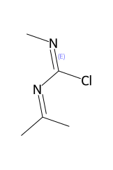 C/N=C(/Cl)N=C(C)C